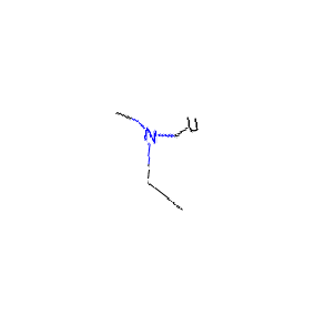 CC[N](C)[U]